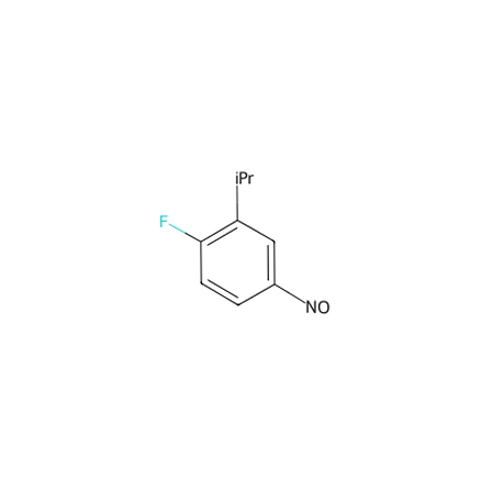 CC(C)c1cc(N=O)ccc1F